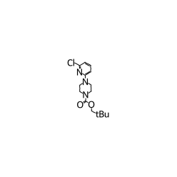 CC(C)(C)COC(=O)N1CCN(c2cccc(Cl)n2)CC1